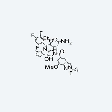 CCOc1c(CC(N)=O)cc([C@@](O)(CNC(=O)c2cc(OC)c3nn(C4(F)CC4)cc3c2)c2ccsc2)nc1-c1cc(F)c(F)cc1F